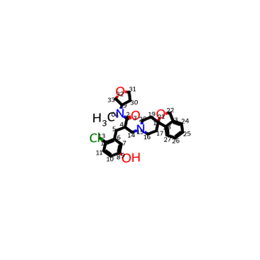 CN(C(=O)C(Cc1cc(O)ccc1Cl)CN1CCC2(CC1)OCc1ccccc12)C1CCOC1